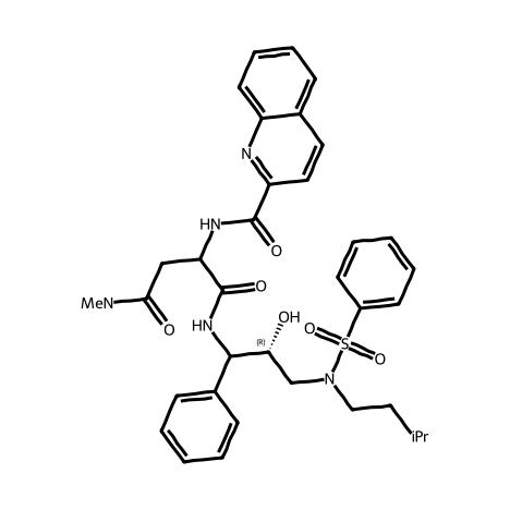 CNC(=O)CC(NC(=O)c1ccc2ccccc2n1)C(=O)NC(c1ccccc1)[C@H](O)CN(CCC(C)C)S(=O)(=O)c1ccccc1